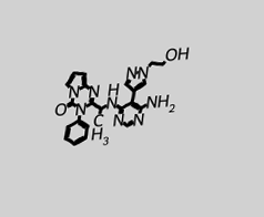 CC(Nc1ncnc(N)c1-c1cnn(CCO)c1)c1nc2cccn2c(=O)n1-c1ccccc1